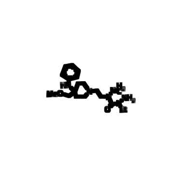 C=NN(CCN1CCC(COC)(Nc2ccccc2)CC1)C(=O)N(N)CC